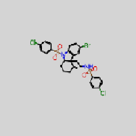 C=C1CCCC2N(S(=O)(=O)c3ccc(Cl)cc3)c3ccc(Br)cc3C12CCNS(=O)(=O)c1ccc(Cl)cc1